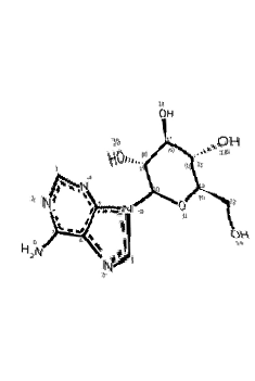 Nc1ncnc2c1ncn2C1O[C@H](CO)[C@@H](O)[C@H](O)[C@H]1O